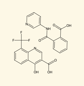 O=C(O)c1ccccc1C(=O)Nc1cccnc1.O=C(O)c1cnc2c(C(F)(F)F)cccc2c1O